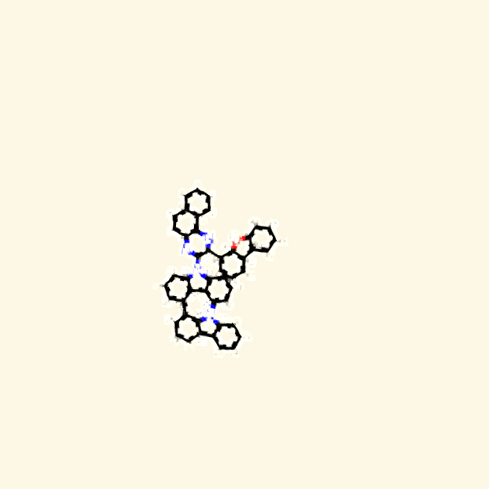 c1ccc2c(c1)ccc1nc(-n3c4cccc5c6cccc7c8ccccc8n(c8cccc3c8c54)c67)c(-c3cccc4c3oc3ccccc34)nc12